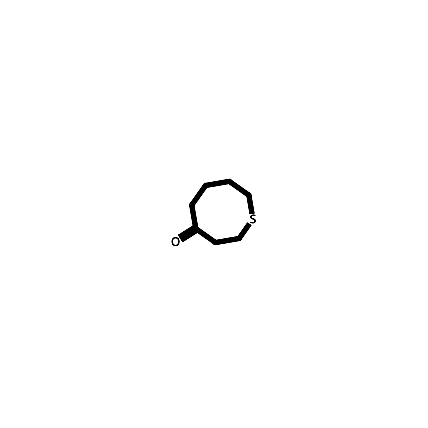 O=C1CCCCSCC1